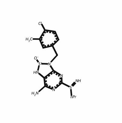 CCCS(=N)c1nc(N)c2c(n1)N(Cc1ccc(Cl)c(C)c1)[S+]([O-])N2